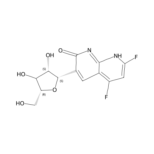 O=c1nc2[nH]c(F)cc(F)c-2cc1[C@@H]1O[C@H](CO)C(O)[C@@H]1O